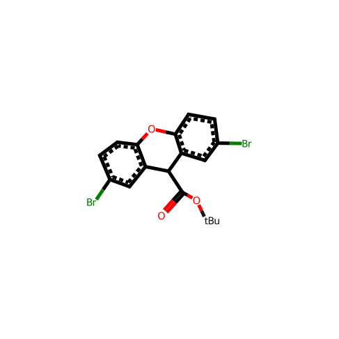 CC(C)(C)OC(=O)C1c2cc(Br)ccc2Oc2ccc(Br)cc21